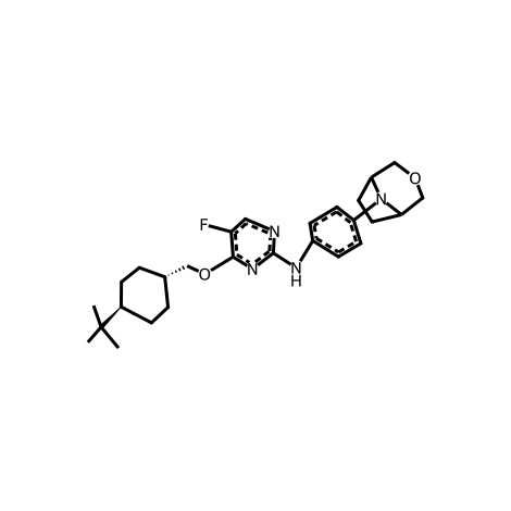 CC(C)(C)[C@H]1CC[C@H](COc2nc(Nc3ccc(N4C5CCC4COC5)cc3)ncc2F)CC1